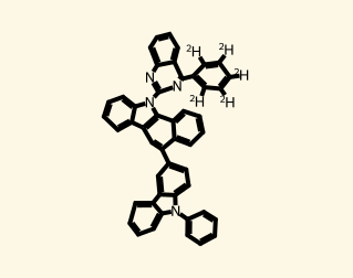 [2H]c1c([2H])c([2H])c(-c2nc(-n3c4ccccc4c4cc(-c5ccc6c(c5)c5ccccc5n6-c5ccccc5)c5ccccc5c43)nc3ccccc23)c([2H])c1[2H]